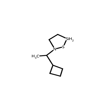 CC(C1CCC1)N1CC[SiH2]S1